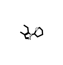 CCc1c(C)cnn1C1CCCCO1